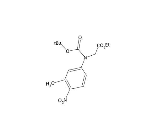 CCOC(=O)CN(C(=O)OC(C)(C)C)c1ccc([N+](=O)[O-])c(C)c1